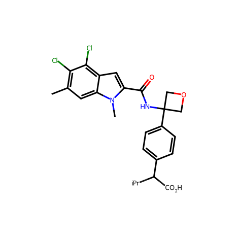 Cc1cc2c(cc(C(=O)NC3(c4ccc(C(C(=O)O)C(C)C)cc4)COC3)n2C)c(Cl)c1Cl